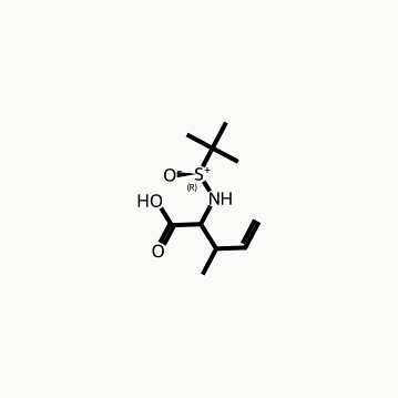 C=CC(C)C(N[S@@+]([O-])C(C)(C)C)C(=O)O